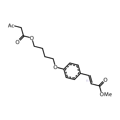 COC(=O)/C=C/c1ccc(OCCCCOC(=O)CC(C)=O)cc1